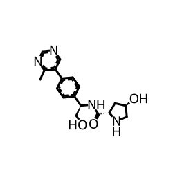 Cc1ncncc1-c1ccc([C@H](CO)NC(=O)[C@@H]2C[C@@H](O)CN2)cc1